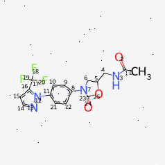 CC(=O)NCC1CN(c2ccc(-n3nccc3C(F)(F)F)cc2)C(=O)O1